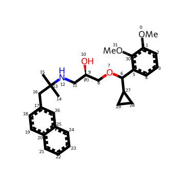 COc1cccc(C(OC[C@H](O)CNC(C)(C)Cc2ccc3ccccc3c2)C2CC2)c1OC